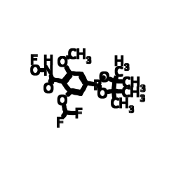 COc1cc(B2OC(C)(C)C(C)(C)O2)cc(OC(F)F)c1C(=O)NOF